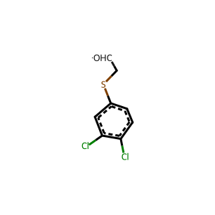 O=[C]CSc1ccc(Cl)c(Cl)c1